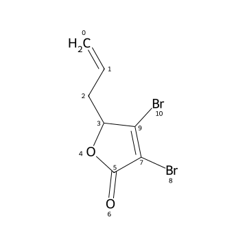 C=CCC1OC(=O)C(Br)=C1Br